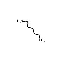 NNCCCCP